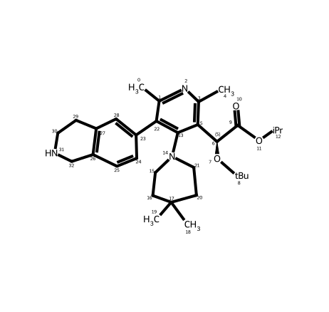 Cc1nc(C)c([C@H](OC(C)(C)C)C(=O)OC(C)C)c(N2CCC(C)(C)CC2)c1-c1ccc2c(c1)CCNC2